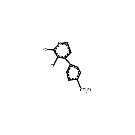 CCOC(=O)c1ccc(-c2ccnc(Cl)c2Cl)cc1